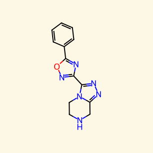 c1ccc(-c2nc(-c3nnc4n3CCNC4)no2)cc1